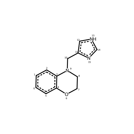 c1ccc2c(c1)OCCN2Cc1c[nH]cn1